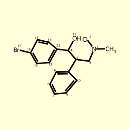 CN(Cl)CC(c1ccccc1)C(O)c1ccc(Br)cc1